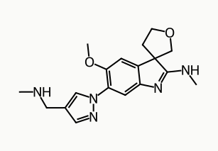 CNCc1cnn(-c2cc3c(cc2OC)C2(CCOC2)C(NC)=N3)c1